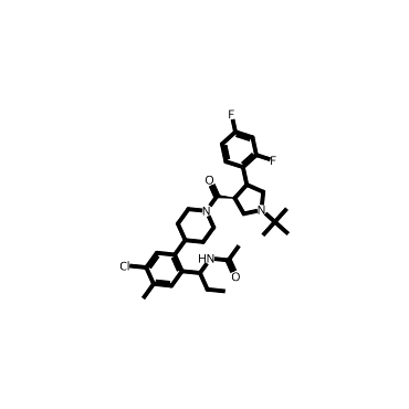 CCC(NC(C)=O)c1cc(C)c(Cl)cc1C1CCN(C(=O)[C@@H]2CN(C(C)(C)C)CC2c2ccc(F)cc2F)CC1